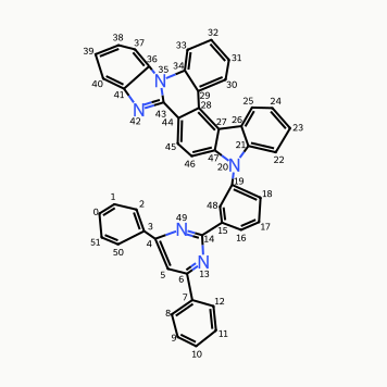 c1ccc(-c2cc(-c3ccccc3)nc(-c3cccc(-n4c5ccccc5c5c6c7ccccc7n7c8ccccc8nc7c6ccc54)c3)n2)cc1